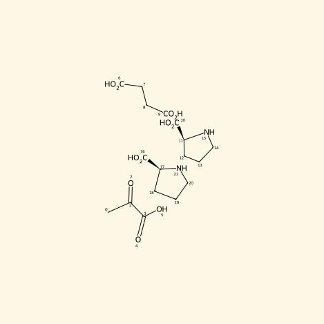 CC(=O)C(=O)O.O=C(O)CCC(=O)O.O=C(O)[C@@H]1CCCN1.O=C(O)[C@@H]1CCCN1